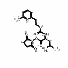 Cc1cccc(CCOC(=O)N[C@@H](CC(C)C)C(=O)ON2C(=O)CCC2=O)n1